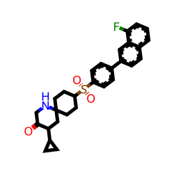 O=C1CNC2(CCC(S(=O)(=O)c3ccc(-c4ccc5cccc(F)c5c4)cc3)CC2)CC1C1CC1